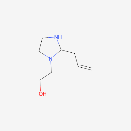 C=CCC1NCCN1CCO